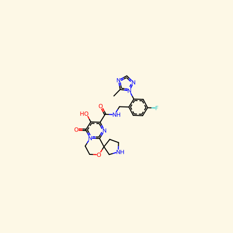 Cc1ncnn1-c1cc(F)ccc1CNC(=O)c1nc2n(c(=O)c1O)CCOC21CCNC1